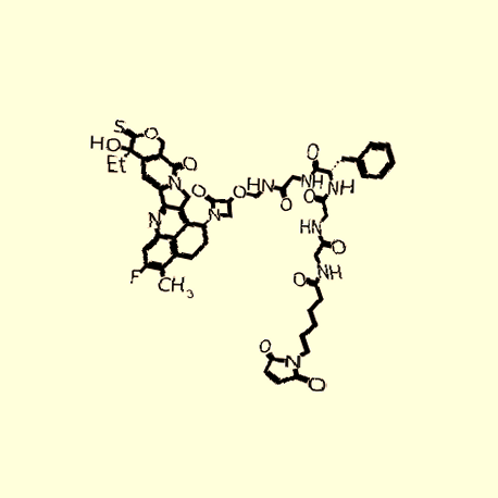 CC[C@@]1(O)C(=S)OCc2c1cc1n(c2=O)Cc2c-1nc1cc(F)c(C)c3c1c2[C@@H](N1CC(OCNC(=O)CNC(=O)[C@H](Cc2ccccc2)NC(=O)CNC(=O)CNC(=O)CCCCCN2C(=O)C=CC2=O)C1=O)CC3